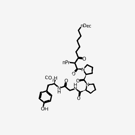 CCCCCCCCCCCCCCCC(=O)C(CCC)C(=O)N1CCC[C@H]1C(=O)N1CCC[C@H]1C(=O)NCC(=O)N[C@@H](Cc1ccc(O)cc1)C(=O)O